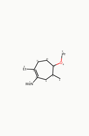 CCC1=C(NC)CC(C)C(OC(C)C)CC1